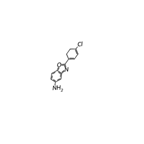 Nc1ccc2oc(C3=CC=C(Cl)CC3)nc2c1